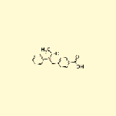 CC(=O)N(Cc1ccc(C(=O)O)cc1)c1ccccc1